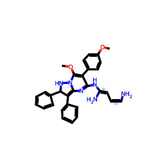 COC1=C(c2ccc(OC)cc2)C(N/C(N)=C/C=C\N)=NC2=C(c3ccccc3)C(c3ccccc3)NN21